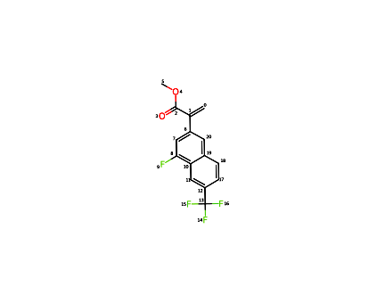 C=C(C(=O)OC)c1cc(F)c2cc(C(F)(F)F)ccc2c1